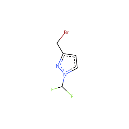 FC(F)n1ccc(CBr)n1